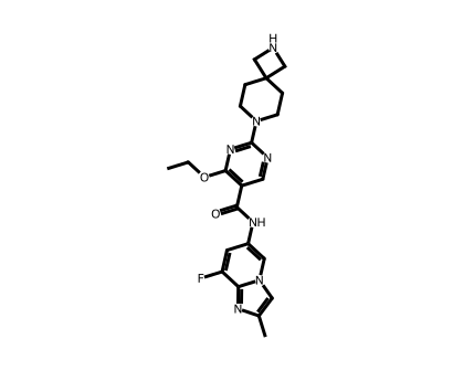 CCOc1nc(N2CCC3(CC2)CNC3)ncc1C(=O)Nc1cc(F)c2nc(C)cn2c1